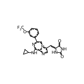 O=C1NC(=O)C(=Cc2cnc3c(NC4CC4)nc(-c4cccc(OC(F)(F)F)c4)cn23)N1